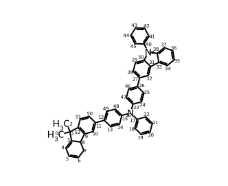 CC1(C)C2=CC=CCC2c2cc(-c3ccc(N(c4ccccc4)c4ccc(-c5ccc6c(c5)c5ccccc5n6-c5ccccc5)cc4)cc3)ccc21